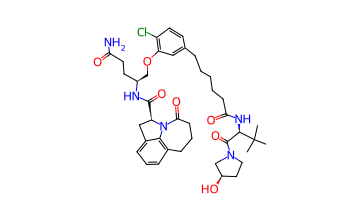 CC(C)(C)[C@H](NC(=O)CCCCCc1ccc(Cl)c(OC[C@H](CCC(N)=O)NC(=O)[C@@H]2Cc3cccc4c3N2C(=O)CCC4)c1)C(=O)N1CC[C@@H](O)C1